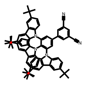 CC(C)(C)c1ccc2c(c1)c1cc(C(C)(C)C)ccc1n2-c1cc(-c2cc(C#N)cc(C#N)c2)cc(-n2c3ccc(C(C)(C)C)cc3c3cc(C(C)(C)C)ccc32)c1-n1c2ccc(C(C)(C)C)cc2c2cc(C(C)(C)C)ccc21